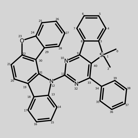 C[Si]1(C)c2ccccc2-c2nc(-n3c4ccccc4c4ccc5oc6ccccc6c5c43)nc(-c3ccccc3)c21